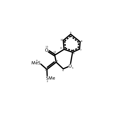 CSC(SC)=C1COc2ccccc2C1=O